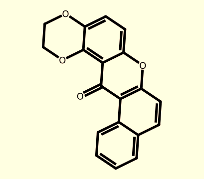 O=c1c2c3c(ccc2oc2ccc4ccccc4c12)OCCO3